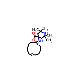 CC1(C)CC2(CC(C)(C)N1)NC1(CCCCCCCCCCC1)OC2=O